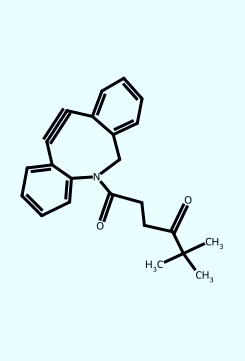 CC(C)(C)C(=O)CCC(=O)N1Cc2ccccc2C#Cc2ccccc21